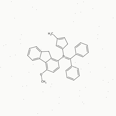 COc1cc[c]([Zr]([C]2=CC(C)=CC2)=[C](c2ccccc2)c2ccccc2)c2c1-c1ccccc1C2